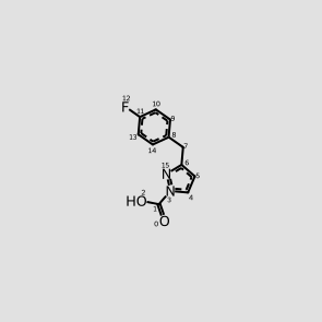 O=C(O)n1ccc(Cc2ccc(F)cc2)n1